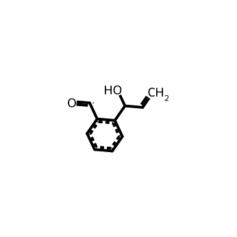 C=CC(O)c1ccccc1[C]=O